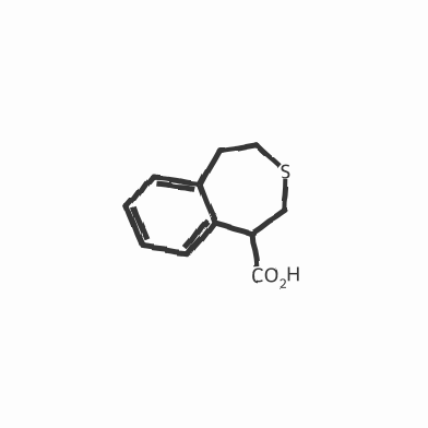 O=C(O)C1CSCCc2ccccc21